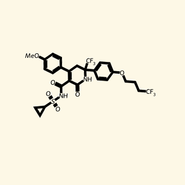 COc1ccc(C2=C(C(=O)NS(=O)(=O)C3CC3)C(=O)NC(c3ccc(OCCCC(F)(F)F)cc3)(C(F)(F)F)C2)cc1